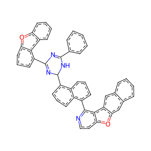 c1ccc(C2=NC(c3cccc4oc5ccccc5c34)=NC(c3cccc4c(-c5nccc6oc7cc8ccccc8cc7c56)cccc34)N2)cc1